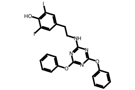 Oc1c(I)cc(CCNc2nc(Oc3ccccc3)nc(Oc3ccccc3)n2)cc1I